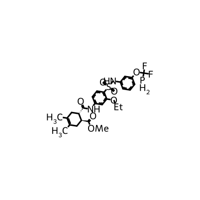 CCOc1cc(NC(=O)[C@H]2CC(C)=C(C)C[C@@H]2C(=O)OC)ccc1S(=O)(=O)Nc1cccc(OC(F)(F)P)c1